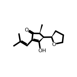 CC(C)=CC1=C(O)[C@H]([C@H]2CCCO2)[C@H](C)C1=O